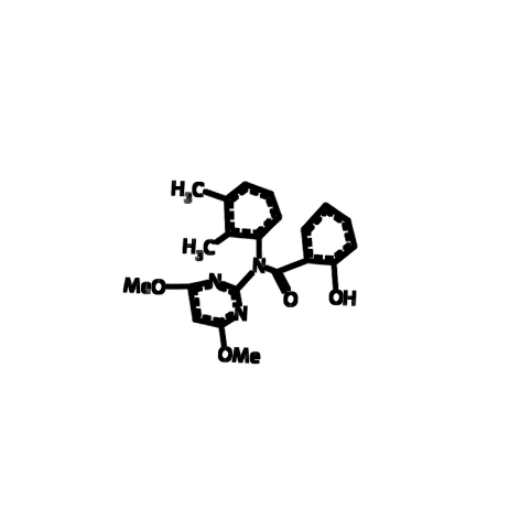 COc1cc(OC)nc(N(C(=O)c2ccccc2O)c2cccc(C)c2C)n1